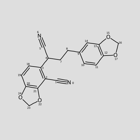 N#Cc1c(C(C#N)CCc2ccc3c(c2)OCO3)ccc2c1OCO2